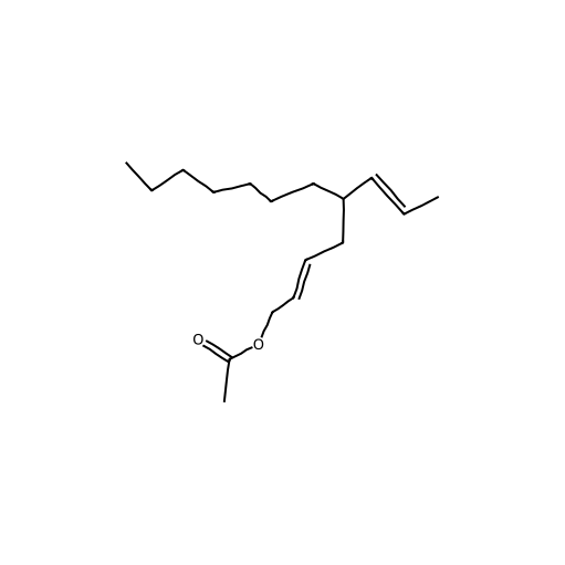 CC=CC(CC=CCOC(C)=O)CCCCCCC